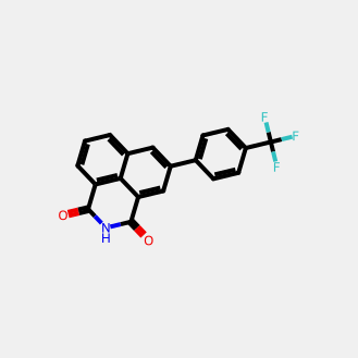 O=C1NC(=O)c2cc(-c3ccc(C(F)(F)F)cc3)cc3cccc1c23